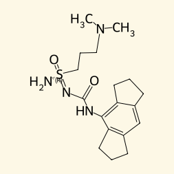 CN(C)CCC[S@](N)(=O)=NC(=O)Nc1c2c(cc3c1CCC3)CCC2